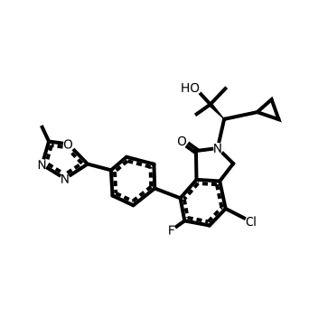 Cc1nnc(-c2ccc(-c3c(F)cc(Cl)c4c3C(=O)N([C@H](C3CC3)C(C)(C)O)C4)cc2)o1